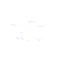 CCOC(C)S(=O)(=O)O.NCCN.[NaH]